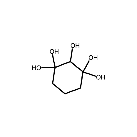 OC1C(O)(O)CCCC1(O)O